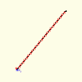 C#CCOCCOCCOCCOCCOCCOCCOCCOCCOCCOCCOCCOCCOCCOCCOCCOCCOCCOCCOCCOCCOCCOCCOCCOCCOCCC(N)=O